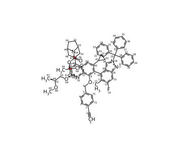 C#Cc1ccc(COc2c(-c3c(C)c(F)cc4nn(C(c5ccccc5)(c5ccccc5)c5ccccc5)cc34)c(C3CC3)cc3c(N4CC5CCC(C4)N5C(=O)OC(C)(C)C)nc(OC[C@H](C)OC)nc23)cc1